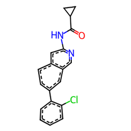 O=C(Nc1cc2ccc(-c3ccccc3Cl)cc2cn1)C1CC1